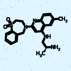 Cc1ccc2nc(N3CCS(=O)(=O)c4ccccc4C3)cc(NC[C@@H](C)N)c2c1